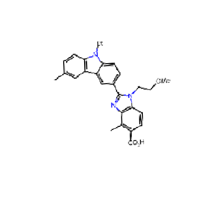 CCn1c2ccc(C)cc2c2cc(-c3nc4c(C)c(C(=O)O)ccc4n3CCOC)ccc21